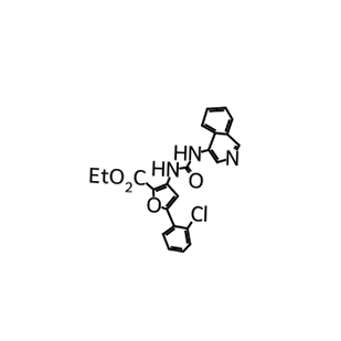 CCOC(=O)c1oc(-c2ccccc2Cl)cc1NC(=O)Nc1cncc2ccccc12